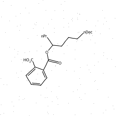 CCCCCCCCCCCCCC(CCC)OC(=O)c1ccccc1C(=O)O